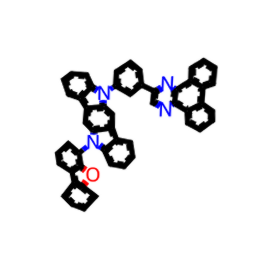 c1cc(-c2cnc3c4ccccc4c4ccccc4c3n2)cc(-n2c3ccccc3c3cc4c(cc32)c2ccccc2n4-c2cccc3c2oc2ccccc23)c1